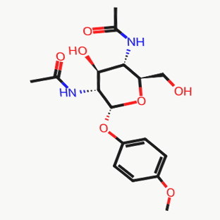 COc1ccc(O[C@H]2O[C@H](CO)[C@@H](NC(C)=O)[C@H](O)[C@H]2NC(C)=O)cc1